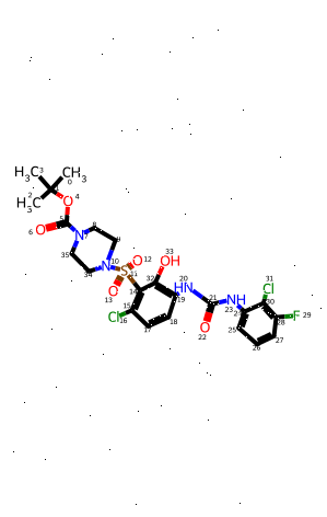 CC(C)(C)OC(=O)N1CCN(S(=O)(=O)c2c(Cl)ccc(NC(=O)Nc3cccc(F)c3Cl)c2O)CC1